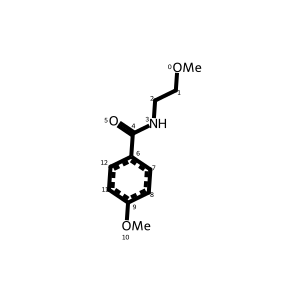 COCCNC(=O)c1ccc(OC)cc1